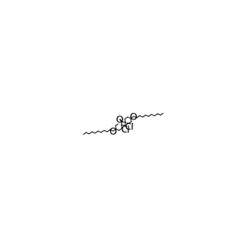 CCCCCCCCCCOC1CC[C@]2(CC1)C(=O)[C@@]1(CCC(OCCCCCCCCCC)CC1)C2(Cl)Cl